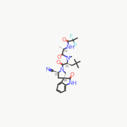 C[C@H](NC(=O)C(C)(F)F)C(=O)N(C)[C@@H](CC(C)(C)C)C(=O)N1C[C@]2(C[C@H]1C#N)C(=O)Nc1ccccc12